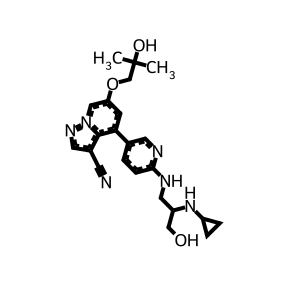 CC(C)(O)COc1cc(-c2ccc(NCC(CO)NC3CC3)nc2)c2c(C#N)cnn2c1